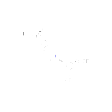 CCO[C@@H](Cc1ccc(OC/C=C(\C)C#Cc2cc(OCC(F)(F)F)cc(OCC(F)(F)F)c2)c(Cl)c1)C(=O)O